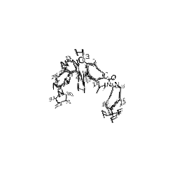 Cc1ccc(C(=O)Nc2cc(C(F)(F)F)ccn2)cc1Nc1ncnc2cnc(N3CCCC3)nc12